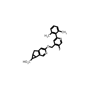 Cc1cccc(C)c1-c1cc(COc2cc3c(cn2)C2C(C3)C2C(=O)O)c(F)cn1